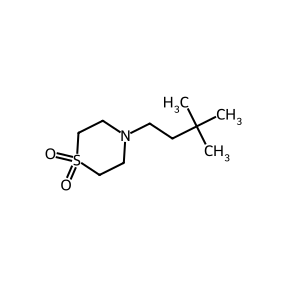 CC(C)(C)CCN1CCS(=O)(=O)CC1